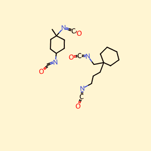 CC1(N=C=O)CCC(N=C=O)CC1.O=C=NCCCC1(CN=C=O)CCCCC1